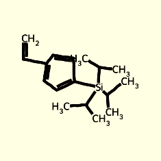 C=Cc1ccc([Si](C(C)C)(C(C)C)C(C)C)cc1